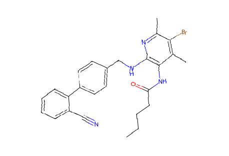 CCCCC(=O)Nc1c(NCc2ccc(-c3ccccc3C#N)cc2)nc(C)c(Br)c1C